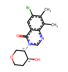 Cc1c(Br)cc2c(=O)n([C@H]3COCC[C@@H]3O)cnc2c1C